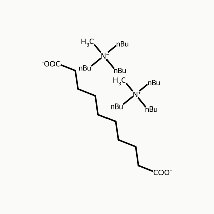 CCCC[N+](C)(CCCC)CCCC.CCCC[N+](C)(CCCC)CCCC.O=C([O-])CCCCCCCCC(=O)[O-]